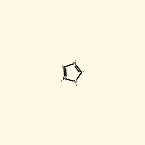 [C]1=N[C]=N[N]1